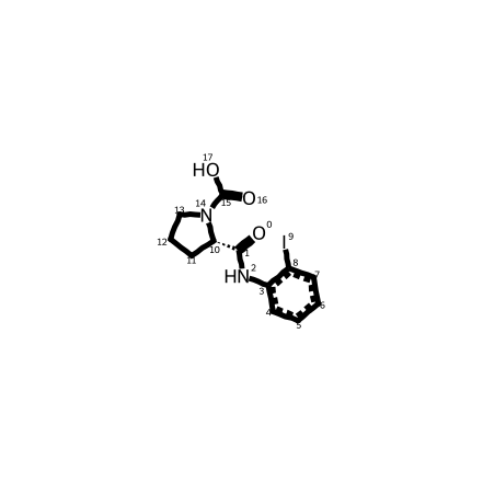 O=C(Nc1ccccc1I)[C@@H]1CCCN1C(=O)O